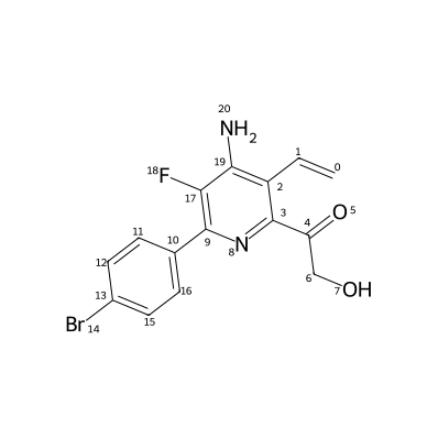 C=Cc1c(C(=O)CO)nc(-c2ccc(Br)cc2)c(F)c1N